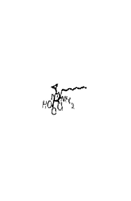 CCCCCCCCN1C(N)=C(Cl)C(C(=O)O)=NC1C1CC1